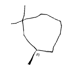 C[C@@H]1CCCCC(C)(C)C1